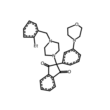 CCc1ccccc1CN1CCN(C2(c3cccc(N4CCOCC4)c3)C(=O)c3ccccc3C2=O)CC1